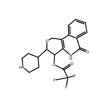 O=C(OC1c2[nH]c(=O)c3ccccc3c2COC1C1CCNCC1)C(F)(F)F